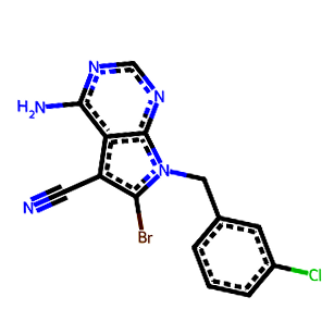 N#Cc1c(Br)n(Cc2cccc(Cl)c2)c2ncnc(N)c12